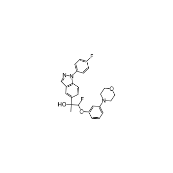 CC(O)(c1ccc2c(cnn2-c2ccc(F)cc2)c1)C(F)Oc1cccc(N2CCOCC2)c1